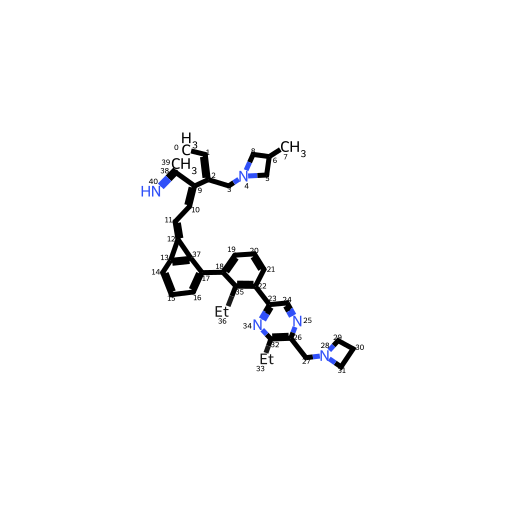 C\C=C(CN1CC(C)C1)/C(=C/C=C1/c2cccc(-c3cccc(-c4cnc(CN5CCC5)c(CC)n4)c3CC)c21)C(C)=N